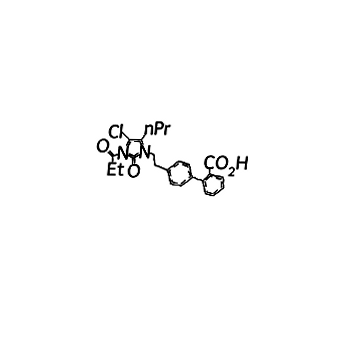 CCCc1c(Cl)n(C(=O)CC)c(=O)n1CCc1ccc(-c2ccccc2C(=O)O)cc1